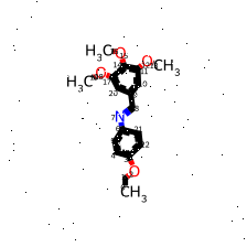 CCOc1ccc(N=Cc2cc(OC)c(OC)c(OC)c2)cc1